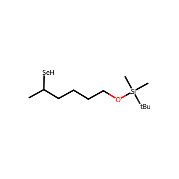 CC([SeH])CCCCO[Si](C)(C)C(C)(C)C